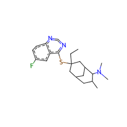 CCC1(Sc2ncnc3ccc(F)cc23)CC2CC(C)C(N(C)C)C(C2)C1